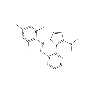 Cc1cc(C)c(/N=C/c2ccccc2C2=C(N(C)C)C=CC2)c(C)c1